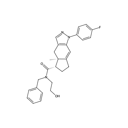 C[C@]12Cc3cnn(-c4ccc(F)cc4)c3C=C1CC[C@@H]2C(=O)N(CCO)Cc1ccccc1